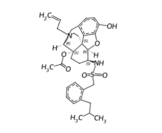 C=CCN1CC[C@]23c4c5ccc(O)c4O[C@H]2[C@@H](NS(=O)(=O)Cc2ccccc2CC(C)C)CC[C@@]3(OC(C)=O)[C@H]1C5